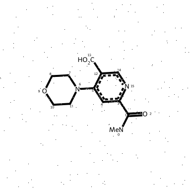 CNC(=O)c1cc(N2CCOCC2)c(C(=O)O)cn1